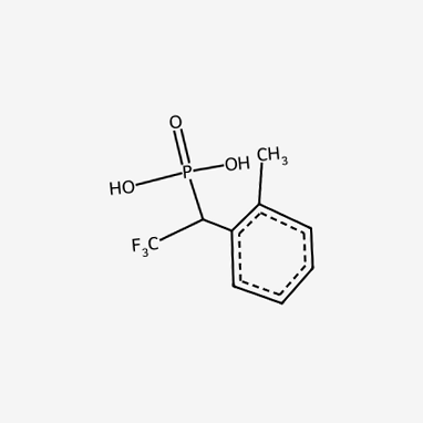 Cc1ccccc1C(C(F)(F)F)P(=O)(O)O